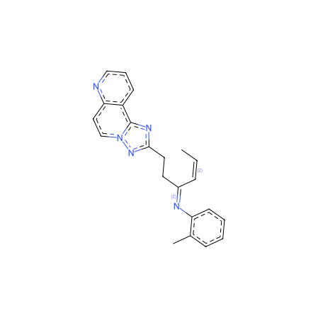 C/C=C\C(CCc1nc2c3cccnc3ccn2n1)=N/c1ccccc1C